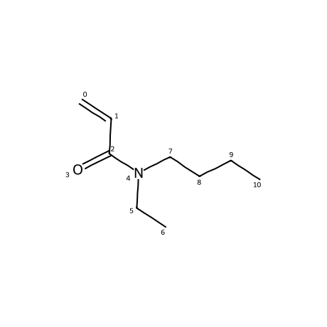 C=CC(=O)N(CC)CCCC